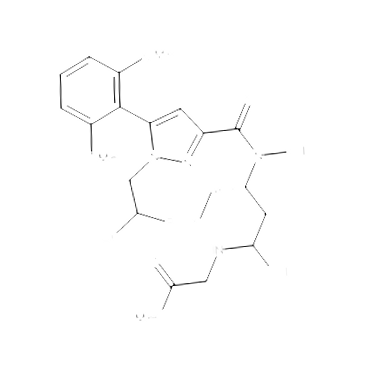 CCC(CC)Cn1nc(C(=O)N(C)[C@@H](CC(C)C)CC(O)NCC(=O)OC)cc1-c1c(OC)cccc1OC